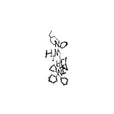 CCC1CCN(C(=O)C(N)CCCc2ncn(C(c3ccccc3)(c3ccccc3)c3ccccc3)c2C)CC1.Cl